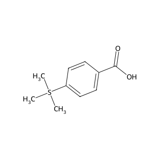 CS(C)(C)c1ccc(C(=O)O)cc1